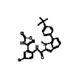 Cn1c(C(=O)Nc2ccc(Br)cc2-c2noc(=O)[nH]2)cc2cccc(-c3ccc(C(C)(C)C)cc3)c21